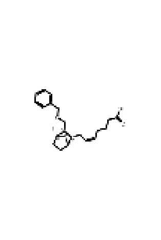 O=C(O)CCC/C=C\C[C@H]1C2CC[C@H](S2)[C@H]1COCc1ccccc1